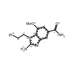 COc1cc(C(N)=O)cc2nc(N)n(CCC(C)C)c12